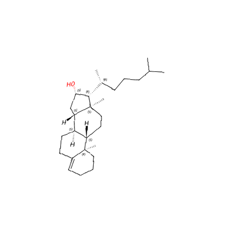 CC(C)CCC[C@@H](C)[C@H]1[C@@H](O)C[C@H]2[C@@H]3CCC4=CCCC[C@]4(C)[C@H]3CC[C@]12C